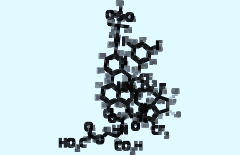 C[C@@H]1c2c(C(F)(F)F)nn(CC(=O)N[C@@H](Cc3cc(F)cc(F)c3)c3nc(C#CC(C)(C)S(C)(=O)=O)ccc3-c3ccc(Cl)c4c(N(C(=O)N[C@@H](COC(=O)C(=O)O)C(=O)O)S(C)(=O)=O)nn(CC(F)(F)F)c34)c2C(F)(F)[C@@H]1C